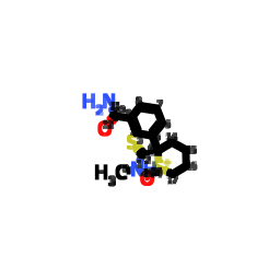 CNC(=S)[C@@]1(c2cccc(C(N)=O)c2)CCCC[S@+]1[O-]